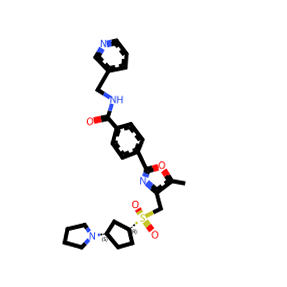 Cc1oc(-c2ccc(C(=O)NCc3cccnc3)cc2)nc1CS(=O)(=O)[C@@H]1CC[C@H](N2CCCC2)C1